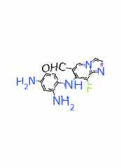 Nc1ccc(Nc2c(C=O)cn3ccnc3c2F)c(N)c1